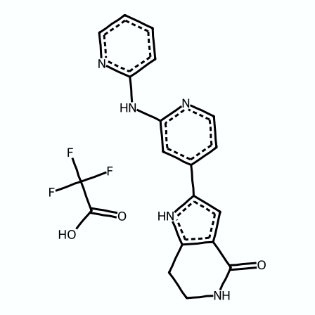 O=C(O)C(F)(F)F.O=C1NCCc2[nH]c(-c3ccnc(Nc4ccccn4)c3)cc21